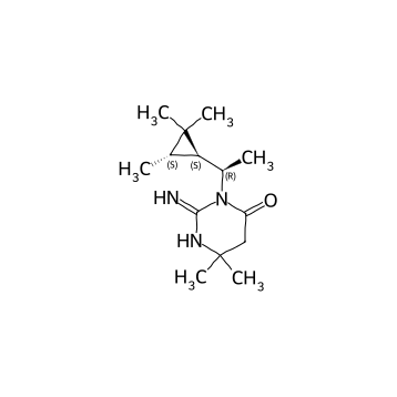 C[C@H]([C@H]1[C@H](C)C1(C)C)N1C(=N)NC(C)(C)CC1=O